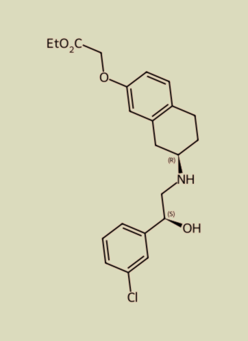 CCOC(=O)COc1ccc2c(c1)C[C@H](NC[C@@H](O)c1cccc(Cl)c1)CC2